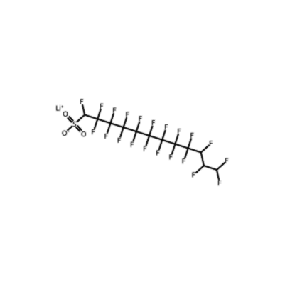 O=S(=O)([O-])C(F)C(F)(F)C(F)(F)C(F)(F)C(F)(F)C(F)(F)C(F)(F)C(F)(F)C(F)(F)C(F)C(F)C(F)F.[Li+]